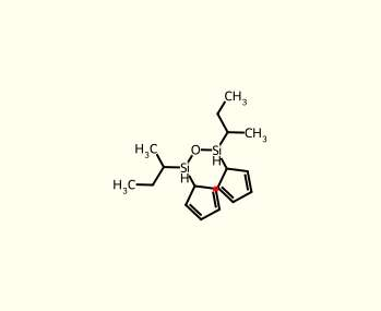 CCC(C)[SiH](O[SiH](C1C=CC=C1)C(C)CC)C1C=CC=C1